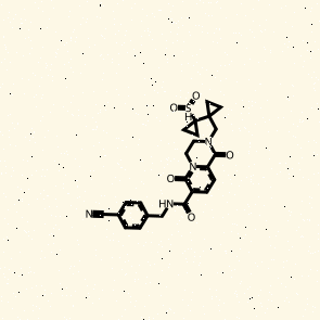 N#Cc1ccc(CNC(=O)c2ccc3n(c2=O)CCN(CC2(C4([SH](=O)=O)CC4)CC2)C3=O)cc1